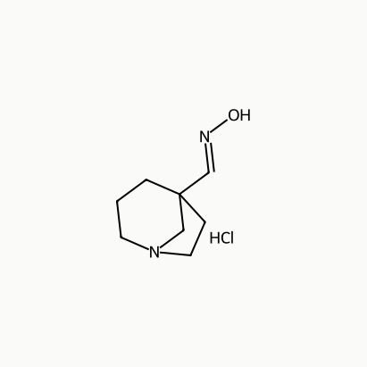 Cl.ON=CC12CCCN(CC1)C2